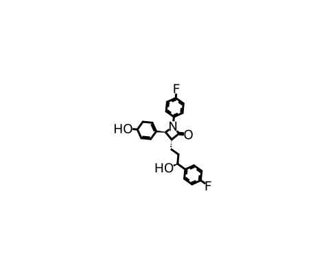 O=C1[C@H](CC[C@H](O)c2ccc(F)cc2)[C@@H](C2=CCC(O)C=C2)N1c1ccc(F)cc1